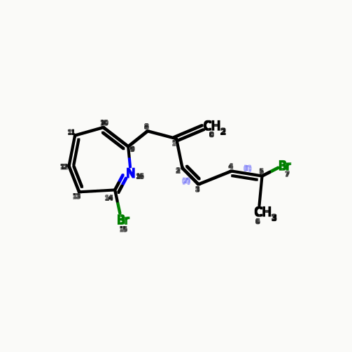 C=C(/C=C\C=C(/C)Br)CC1=CC=C=CC(Br)=N1